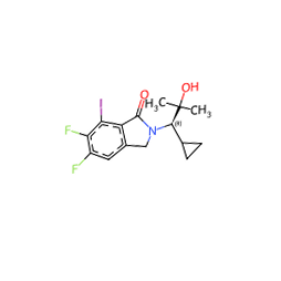 CC(C)(O)[C@@H](C1CC1)N1Cc2cc(F)c(F)c(I)c2C1=O